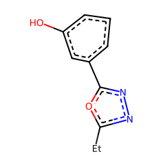 CCc1nnc(-c2cccc(O)c2)o1